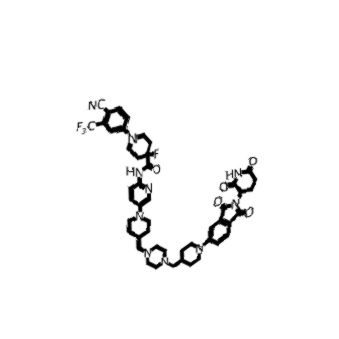 N#Cc1ccc(N2CCC(F)(C(=O)Nc3ccc(N4CCC(CN5CCN(CC6CCN(c7ccc8c(c7)C(=O)N(C7CCC(=O)NC7=O)C8=O)CC6)CC5)CC4)cn3)CC2)cc1C(F)(F)F